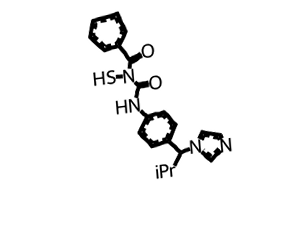 CC(C)C(c1ccc(NC(=O)N(S)C(=O)c2ccccc2)cc1)n1ccnc1